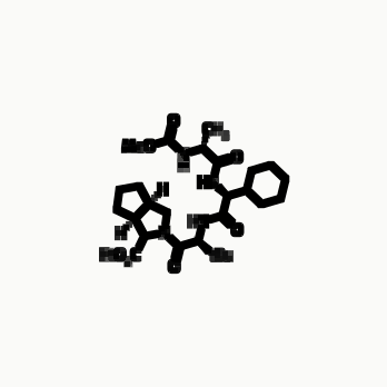 CCOC(=O)C1[C@H]2CCC[C@H]2CN1C(=O)[C@@H](NC(=O)[C@@H](NC(=O)[C@@H](C)NC(=O)OC)C1CCCCC1)C(C)(C)C